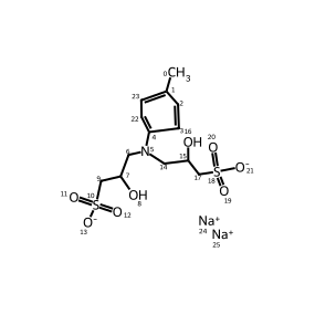 Cc1ccc(N(CC(O)CS(=O)(=O)[O-])CC(O)CS(=O)(=O)[O-])cc1.[Na+].[Na+]